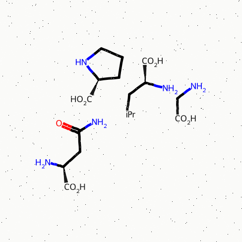 CC(C)C[C@H](N)C(=O)O.NC(=O)C[C@H](N)C(=O)O.NCC(=O)O.O=C(O)[C@@H]1CCCN1